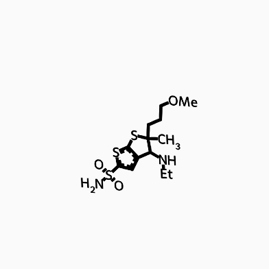 CCNC1c2cc(S(N)(=O)=O)sc2SC1(C)CCCOC